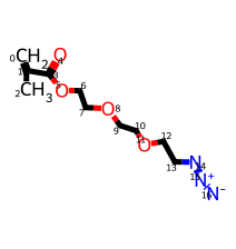 C=C(C)C(=O)OCCOCCOCCN=[N+]=[N-]